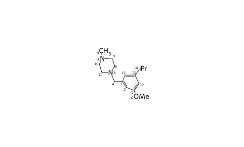 COc1cc(CN2CCN(C)CC2)cc(C(C)C)c1